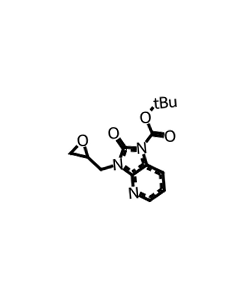 CC(C)(C)OC(=O)n1c(=O)n(CC2CO2)c2ncccc21